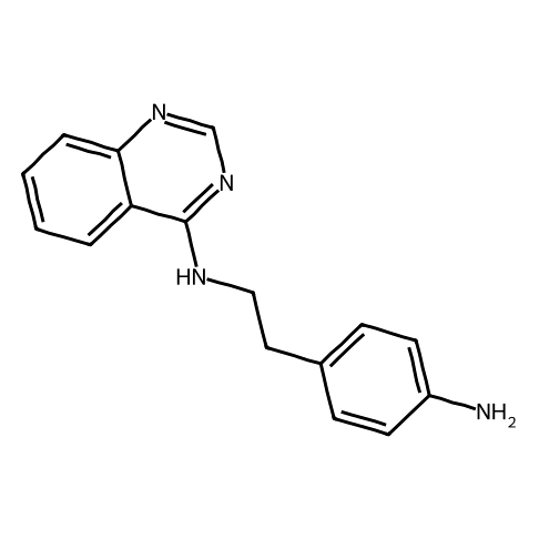 Nc1ccc(CCNc2ncnc3ccccc23)cc1